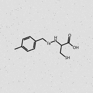 Cc1ccc(C[Te]NC(CS)C(=O)O)cc1